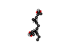 c1ccc(-c2cccc(-c3ccc(-c4nc(-c5ccc(-c6cccc(-c7ccc(-c8nc(-c9ccc(-c%10ccc%11c(c%10)-c%10ccccc%10C%11%10c%11ccccc%11Oc%11ccccc%11%10)cc9)c9ccccc9n8)cc7)c6)cc5)nc(-c5cccc6c5-c5ccccc5C65c6ccccc6Oc6ccccc65)n4)cc3)c2)cc1